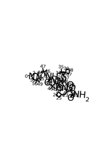 CN1CCN(C[C@@H](NC(=O)N[C@@H](C(=O)N2C[C@]3(C[C@H]2C(=O)NC(CC2CCC2)C(=O)C(N)=O)C(C)(C)C32CCC2)C(C)(C)C)C(C)(C)C)C(C)(C)C1